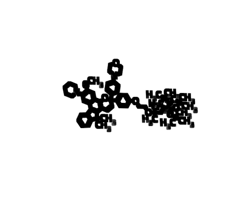 COc1cc2c3c(c4c(c2cc1N1CCCCC1)-c1ccccc1C4(C)C)C=CC(c1ccc(OCCOC(C)(C)CC[Si](OC(C)(C)C)(OC(C)(C)C)OC(C)(C)C)cc1)(c1ccc(N2CCOCC2)cc1)O3